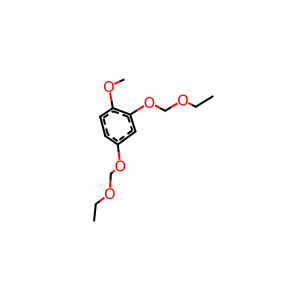 CCOCOc1ccc(OC)c(OCOCC)c1